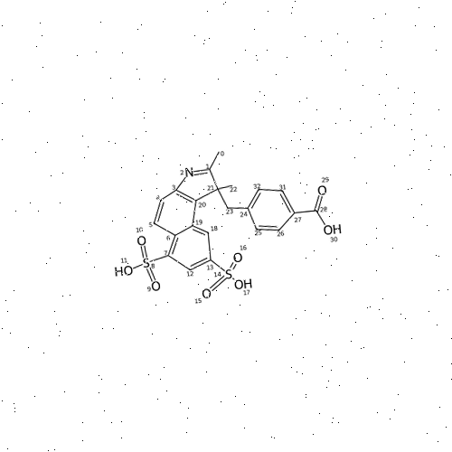 CC1=Nc2ccc3c(S(=O)(=O)O)cc(S(=O)(=O)O)cc3c2C1(C)Cc1ccc(C(=O)O)cc1